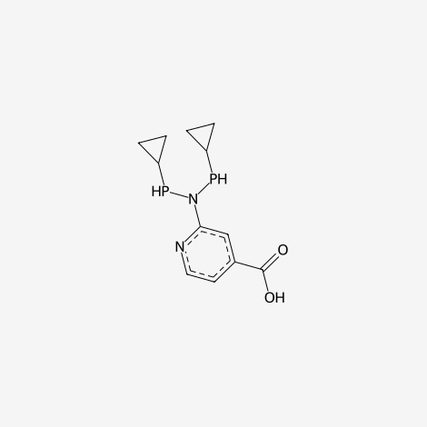 O=C(O)c1ccnc(N(PC2CC2)PC2CC2)c1